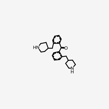 O=C(c1ccccc1CC1CCNCC1)c1ccccc1CC1CCNCC1